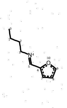 CCCCN=Cc1ccco1